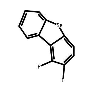 Fc1ccc2[se]c3ccccc3c2c1F